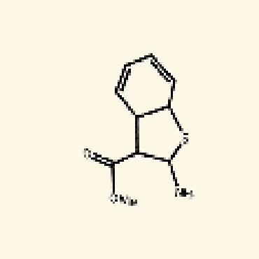 COC(=O)C1C([NH])SC2C=CC=CC21